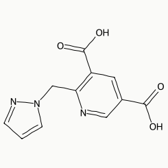 O=C(O)c1cnc(Cn2cccn2)c(C(=O)O)c1